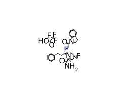 NC(=O)[C@@H]1C[C@H](F)CN1[C@H](/C=C/C(=O)N1CCc2ccccc21)CCc1ccccc1.O=C(O)C(F)(F)F